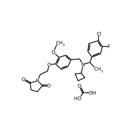 COc1cc(CN(C2CCC2)C(C)c2ccc(Cl)c(F)c2)ccc1OCCN1C(=O)CCC1=O.O=C(O)O